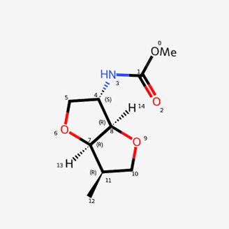 COC(=O)N[C@H]1CO[C@H]2[C@@H]1OC[C@H]2C